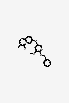 COc1cc(Oc2ccc3ncc(C)c(=O)n3c2)cnc1OCc1ccccc1